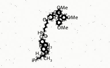 COc1ccc(C(OCC2(CO)CCN(C(=O)CCCCCNC(=O)OC3CC[C@@]4(C)C(=CC[C@H]5[C@@H]6CC[C@H]([C@H](C)CCCC(C)C)[C@@]6(C)CC[C@@H]54)C3)CC2)(c2ccc(OC)cc2)c2ccc(OC)cc2)cc1